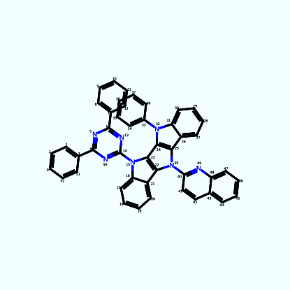 c1ccc(-c2nc(-c3ccccc3)nc(-n3c4ccccc4c4c3c3c(c5ccccc5n3-c3ccccc3)n4-c3ccc4ccccc4n3)n2)cc1